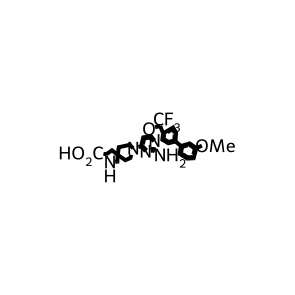 COc1cccc(-c2ccc(C(Oc3cc(N4CCC5(CC4)CNC(C(=O)O)C5)nc(N)n3)C(F)(F)F)cc2)c1